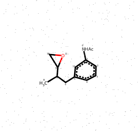 CC(=O)Nc1cccc(CC(C)C2CO2)c1